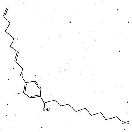 C=CCCNCC=CCOc1ccc(C(CCCCCCCCCC=O)NC(C)=O)cc1F